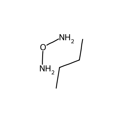 CCCC.NON